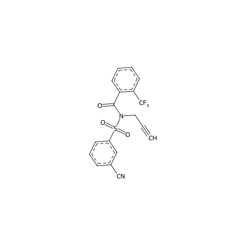 C#CCN(C(=O)c1ccccc1C(F)(F)F)S(=O)(=O)c1cccc(C#N)c1